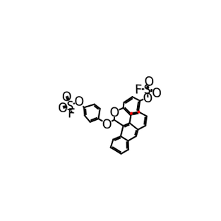 O=S(=O)(F)Oc1ccc(OC(Oc2ccc(OS(=O)(=O)F)cc2)c2c3ccccc3cc3ccccc23)cc1